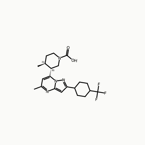 Cc1cc([C@H]2CN(C(=O)O)CC[C@@H]2C)n2nc(C3CCC(C(F)(F)F)CC3)cc2n1